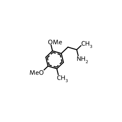 COc1cc(OC)c(CC(C)N)cc1C